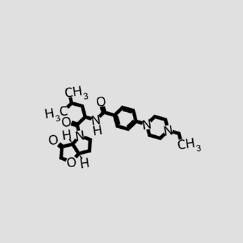 CCN1CCN(c2ccc(C(=O)NC(CC(C)C)C(=O)N3CC[C@H]4OCC(=O)[C@H]43)cc2)CC1